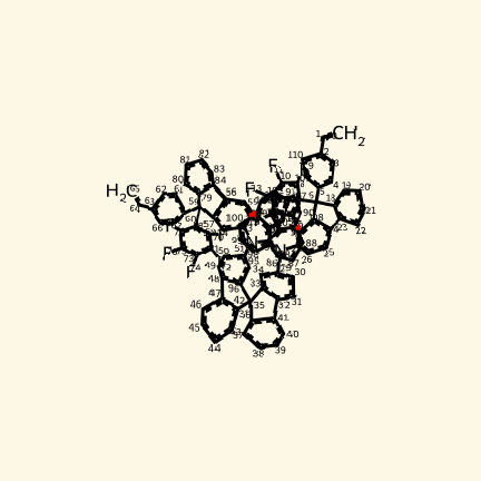 C=Cc1ccc(C2(c3c(F)c(F)c(F)c(F)c3F)c3ccccc3-c3ccc(N(c4ccc5c(c4)C4(c6ccccc6-5)c5ccccc5-c5ccc(N(c6ccc7c(c6)C(c6ccc(C=C)cc6)(c6c(F)c(F)c(F)c(F)c6F)c6ccccc6-7)c6cccc7ccccc67)cc54)c4cccc5ccccc45)cc32)cc1